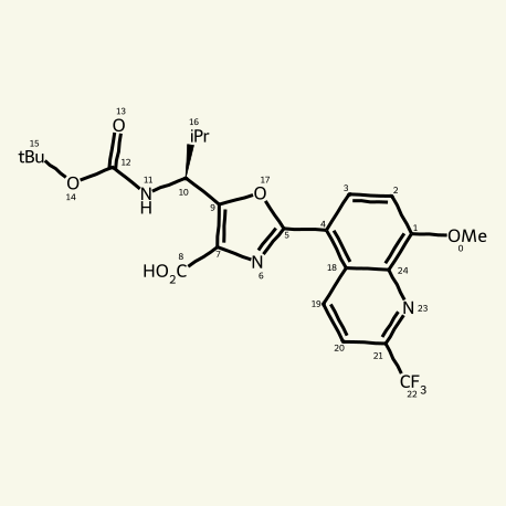 COc1ccc(-c2nc(C(=O)O)c([C@@H](NC(=O)OC(C)(C)C)C(C)C)o2)c2ccc(C(F)(F)F)nc12